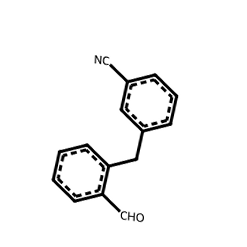 N#Cc1cccc(Cc2ccccc2C=O)c1